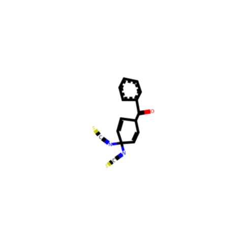 O=C(c1ccccc1)C1C=CC(N=C=S)(N=C=S)C=C1